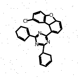 Clc1ccc2c(c1)C1C(c3nc(C4=CCCC=C4)nc(C4C=CC=CC4)n3)=CC=CC1O2